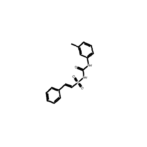 Cc1cccc(NC(=O)NS(=O)(=O)C=Cc2ccccc2)c1